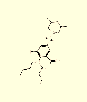 CCCCN(CCCC)c1c(Cl)cc(S(=O)(=O)N2CC(C)CC(C)C2)cc1C(=O)O